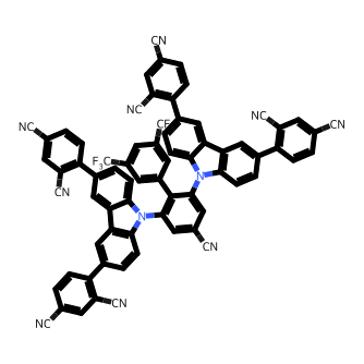 N#Cc1ccc(-c2ccc3c(c2)c2cc(-c4ccc(C#N)cc4C#N)ccc2n3-c2cc(C#N)cc(-n3c4ccc(-c5ccc(C#N)cc5C#N)cc4c4cc(-c5ccc(C#N)cc5C#N)ccc43)c2-c2cc(C(F)(F)F)cc(C(F)(F)F)c2)c(C#N)c1